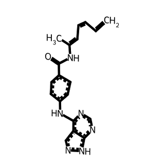 C=C/C=C\C=C(/C)NC(=O)c1ccc(Nc2ncnc3[nH]ncc23)cc1